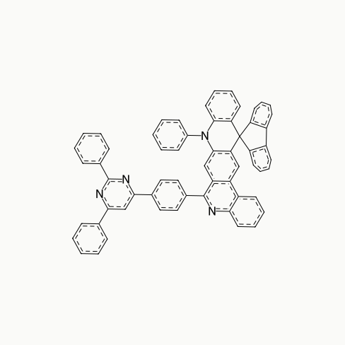 c1ccc(-c2cc(-c3ccc(-c4nc5ccccc5c5cc6c(cc45)N(c4ccccc4)c4ccccc4C64c5ccccc5-c5ccccc54)cc3)nc(-c3ccccc3)n2)cc1